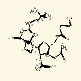 CCCC(=O)NC[C@H]1O[C@@H](n2cnc3c(=O)[nH]c(NCC(C)C)nc32)[C@H](OC(C)=O)[C@@H]1OC(C)=O